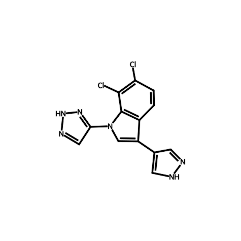 Clc1ccc2c(-c3cn[nH]c3)cn(-c3cn[nH]n3)c2c1Cl